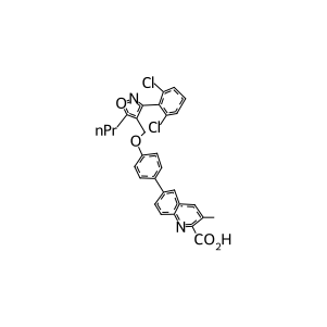 CCCc1onc(-c2c(Cl)cccc2Cl)c1COc1ccc(-c2ccc3nc(C(=O)O)c(C)cc3c2)cc1